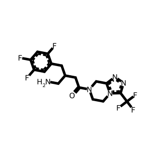 NCC(CC(=O)N1CCn2c(nnc2C(F)(F)F)C1)Cc1cc(F)c(F)cc1F